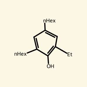 CCCCCCc1cc(CC)c(O)c(CCCCCC)c1